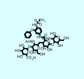 CC(=O)NC1C(O)OC(CO)C(O)C1OC1OC(C(=O)Nc2ccc(NS(C)(=O)=O)c(Oc3ccccc3)c2)C(CC2OC(CO)C(O)C(OC3OC(C(=O)O)[C@H](O)C(O)C3O)C2NC(C)=O)C(O)C1O